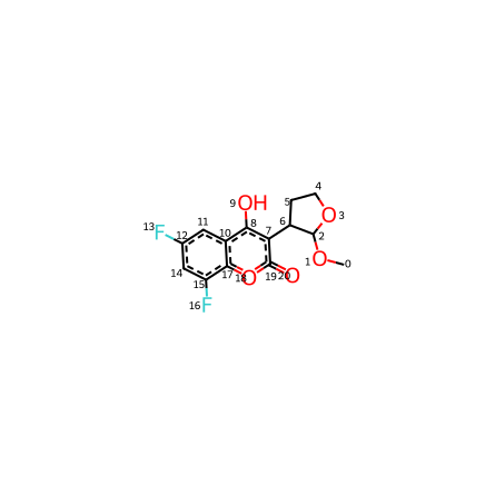 COC1OCCC1c1c(O)c2cc(F)cc(F)c2oc1=O